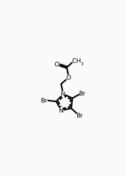 CC(=O)OCn1c(Br)nc(Br)c1Br